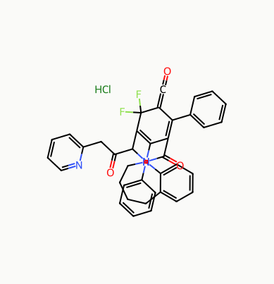 Cl.O=C=C1C(c2ccccc2)=C2C(=O)N(c3ccccc3)C(C(=O)Cc3ccccn3)C(=C2N2CCCCc3ccccc32)C1(F)F